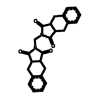 O=C1C2Cc3ccccc3CC2C(=O)N1CN1C(=O)C2Cc3ccccc3CC2C1=O